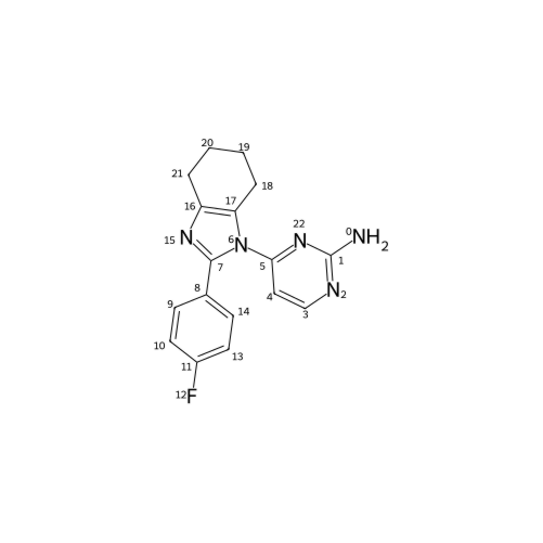 Nc1nccc(-n2c(-c3ccc(F)cc3)nc3c2CCCC3)n1